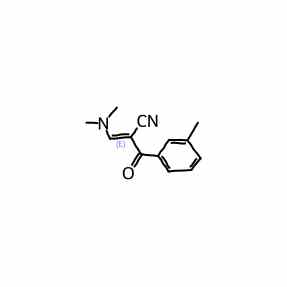 Cc1cccc(C(=O)/C(C#N)=C/N(C)C)c1